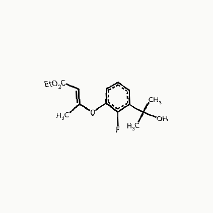 CCOC(=O)C=C(C)Oc1cccc(C(C)(C)O)c1F